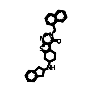 O=c1c2c3c(sc2ncn1Cc1cccc2ccccc12)CC(NC1Cc2ccccc2C1)CC3